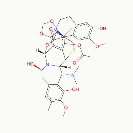 COc1cc2c(cc1O)CCN[C@]21CSC2c3c(OC(C)=O)c(C)c4c(c3[C@@H](OC1=O)N1[C@H](O)Cc3cc(C)c(OC)c(O)c3[C@@H](N(C)C)[C@@H]21)OCO4